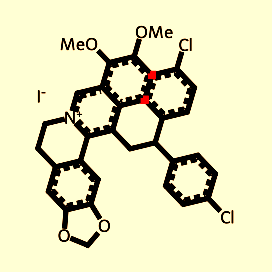 COc1ccc2c(CC(c3ccc(Cl)cc3)c3ccc(Cl)cc3)c3[n+](cc2c1OC)CCc1cc2c(cc1-3)OCO2.[I-]